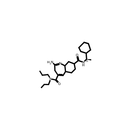 CCCN(CCC)C(=O)C1=CC2CCC(C(=O)N[C@H](C)C3CCCCC3)CC2N=C(N)C1